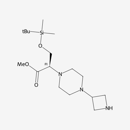 COC(=O)[C@@H](CO[Si](C)(C)C(C)(C)C)N1CCN(C2CNC2)CC1